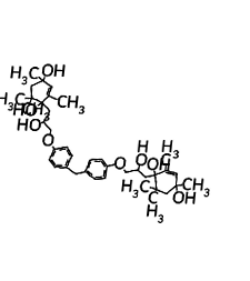 CC1=CC(C)(O)CC(C)(C)C1(O)CC(O)COc1ccc(Cc2ccc(OCC(O)CC3(O)C(C)=CC(C)(O)CC3(C)C)cc2)cc1